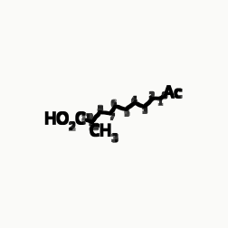 CC(=O)CCCCCCCCC(C)C(=O)O